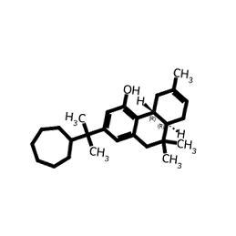 CC1=CC[C@@H]2[C@@H](C1)c1c(O)cc(C(C)(C)C3CCCCCC3)cc1CC2(C)C